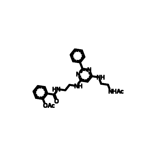 CC(=O)NCCNc1cc(NCCNC(=O)c2ccccc2OC(C)=O)nc(-c2ccccc2)n1